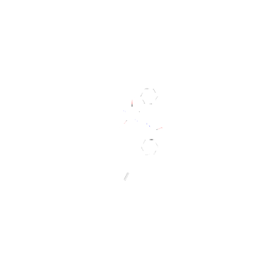 O=C1NC(=O)C(CN2Cc3cc(OCC#CCO)c(F)cc3C2=O)(c2ccc(F)cc2)N1